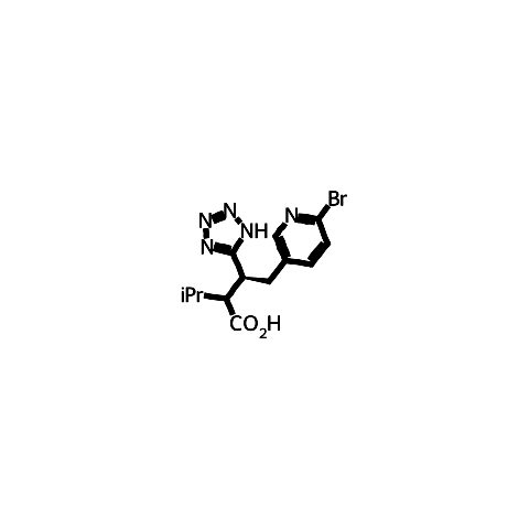 CC(C)C(C(=O)O)[C@H](Cc1ccc(Br)nc1)c1nnn[nH]1